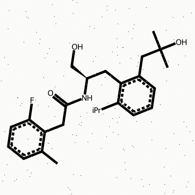 Cc1cccc(F)c1CC(=O)N[C@@H](CO)Cc1c(CC(C)(C)O)cccc1C(C)C